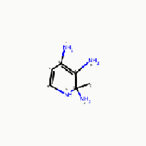 CC1(N)NC=CC(N)=C1N